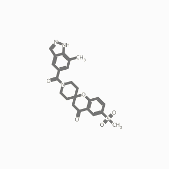 Cc1cc(C(=O)N2CCC3(CC2)CC(=O)c2cc(S(C)(=O)=O)ccc2O3)cc2cn[nH]c12